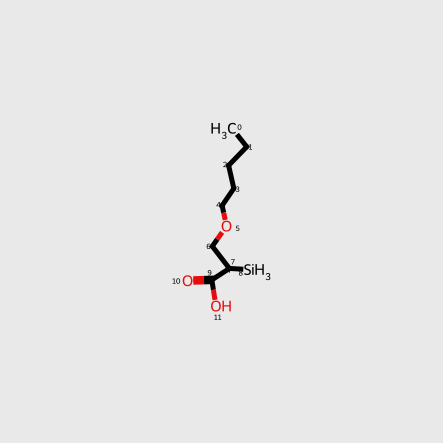 CCCCCOC[C]([SiH3])C(=O)O